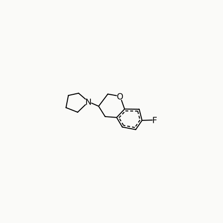 Fc1ccc2c(c1)OCC(N1CCCC1)C2